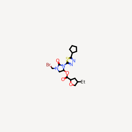 CCC1COC(C(=O)OC2CN(CBr)C(=O)N2c2nnc(C3CCCC3)s2)C1